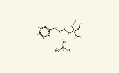 CO[Si](CCCOc1ccccc1)(OC)OC.OB(O)O